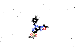 CNS(=O)(=O)c1cnc(NCc2ccc(C(F)(F)F)cc2)c(-c2cn3c(n2)O[C@H](C)C3)c1